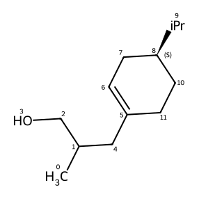 CC(CO)CC1=CC[C@@H](C(C)C)CC1